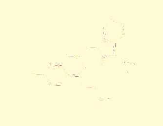 CCCCCC(C)COc1nc(Cn2c(=O)n(C3CC3)c3ccncc32)nc2cc(Cl)ccc12